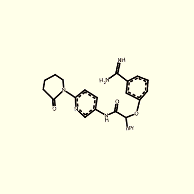 CCCC(Oc1cccc(C(=N)N)c1)C(=O)Nc1ccc(N2CCCCC2=O)nc1